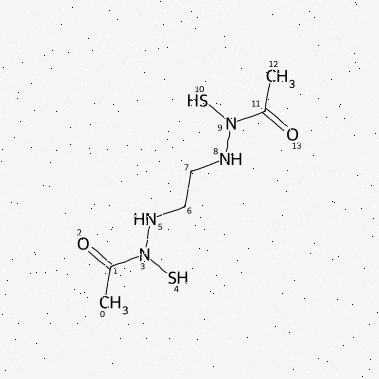 CC(=O)N(S)NCCNN(S)C(C)=O